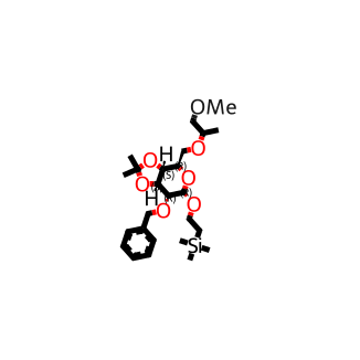 COCC(C)OC[C@H]1O[C@@H](OCC[Si](C)(C)C)[C@H](OCc2ccccc2)[C@H]2OC(C)(C)O[C@H]21